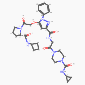 O=C(NCC(=O)N1CCN(C(=O)NC2CC2)CC1)c1cc(OCC(=O)N2CCC[C@H]2C(=O)NC2CCC2)n(-c2ccccc2)n1